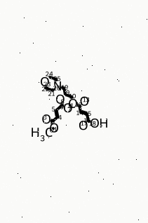 COC(=O)C=CC(=O)OC(COC(=O)C=CC(=O)O)CN1CCOCC1